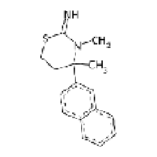 CN1C(=N)SCCC1(C)c1ccc2ccccc2c1